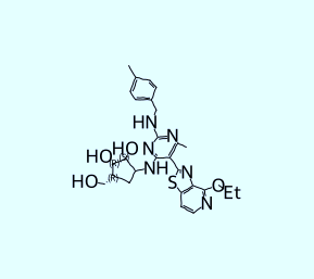 CCOc1nccc2sc(-c3c(C)nc(NCc4ccc(C)cc4)nc3NC3C[C@H](CO)[C@@H](O)[C@H]3O)nc12